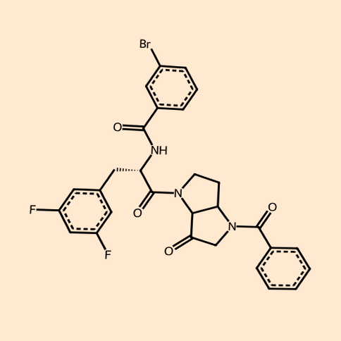 O=C(N[C@@H](Cc1cc(F)cc(F)c1)C(=O)N1CCC2C1C(=O)CN2C(=O)c1ccccc1)c1cccc(Br)c1